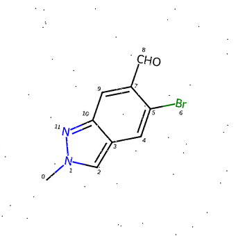 Cn1cc2cc(Br)c(C=O)cc2n1